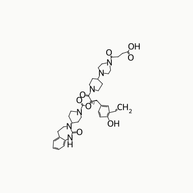 C=Cc1cc(C[C@@H](OC(=O)N2CCC(N3CCc4ccccc4NC3=O)CC2)C(=O)N2CCC(N3CCN(C(=O)CCC(=O)O)CC3)CC2)ccc1O